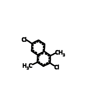 Cc1cc(Cl)c(C)c2ccc(Cl)cc12